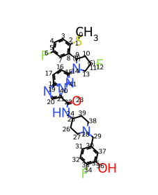 CSc1ccc(F)cc1[C@H]1C[C@H](F)CN1c1ccc2ncc(C(=O)NC3CCN(Cc4ccc(F)c(O)c4)CC3)n2n1